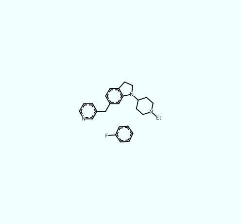 CCN1CCC(N2CCc3ccc(Cc4cccnc4)cc32)CC1.Fc1ccccc1